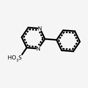 O=S(=O)(O)c1ccnc(-c2ccccc2)n1